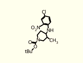 CC1CN(C(=O)OC(C)(C)C)CCC1Nc1ccc(Cl)cc1[N+](=O)[O-]